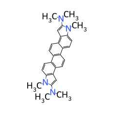 CN(C)c1cc2c3ccc4c(ccc5c4ccc4c5cc(N(C)C)n4C)c3ccc2n1C